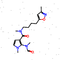 Cc1cc(CCCCN(C)C(=O)c2ccn(C)c2N(C)C=O)on1